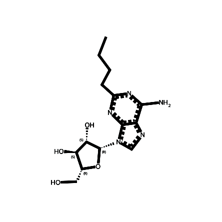 CCCCc1nc(N)c2ncn([C@@H]3O[C@H](CO)[C@@H](O)[C@@H]3O)c2n1